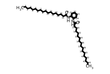 CCCCCCCCCCCCCCCCCC(=O)Nc1ccccc1NC(=O)CCCCCCCCCCCCCCCCC